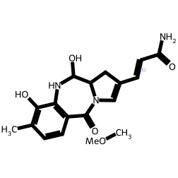 COC.Cc1ccc2c(c1O)NC(O)C1CC(/C=C/C(N)=O)=CN1C2=O